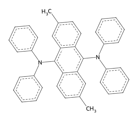 Cc1ccc2c(N(c3ccccc3)c3ccccc3)c3cc(C)ccc3c(N(c3ccccc3)c3ccccc3)c2c1